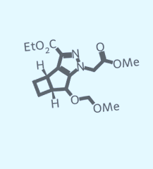 CCOC(=O)c1nn(CC(=O)OC)c2c1[C@H]1CC[C@H]1C2OCOC